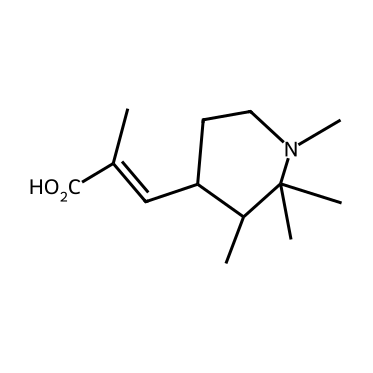 CC(=CC1CCN(C)C(C)(C)C1C)C(=O)O